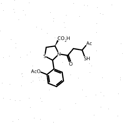 CC(=O)Oc1ccccc1C1SC[C@@H](C(=O)O)N1C(=O)CC(S)C(C)=O